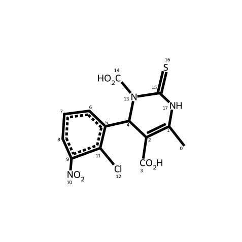 CC1=C(C(=O)O)C(c2cccc([N+](=O)[O-])c2Cl)N(C(=O)O)C(=S)N1